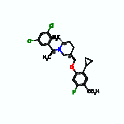 C[C@@H]1CC[C@@H](COc2cc(F)c(C(=O)O)cc2C2CC2)CN1[C@@H](C)c1cc(Cl)cc(Cl)c1